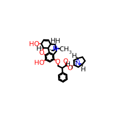 CN1CC[C@]23c4c5c(OCC(C(=O)O[C@H]6C[C@H]7CC[C@@H](C6)N7C)c6ccccc6)cc(O)c4O[C@H]2[C@@H](O)C=C[C@H]3[C@H]1C5